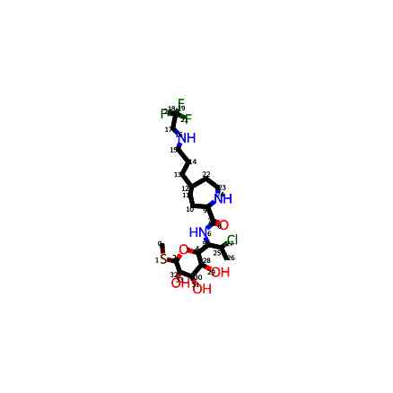 CSC1OC(C(NC(=O)C2CCC(CCCNCC(F)(F)F)CCN2)C(C)Cl)C(O)C(O)C1O